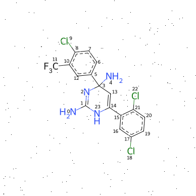 NC1=NC(N)(c2ccc(Cl)c(C(F)(F)F)c2)C=C(c2cc(Cl)ccc2Cl)N1